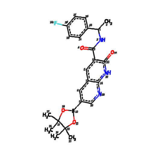 CC(NC(=O)c1cc2cc(B3OC(C)(C)C(C)(C)O3)cnc2[nH]c1=O)c1ccc(F)cc1